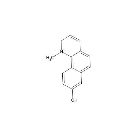 C[n+]1cccc2ccc3cc(O)ccc3c21